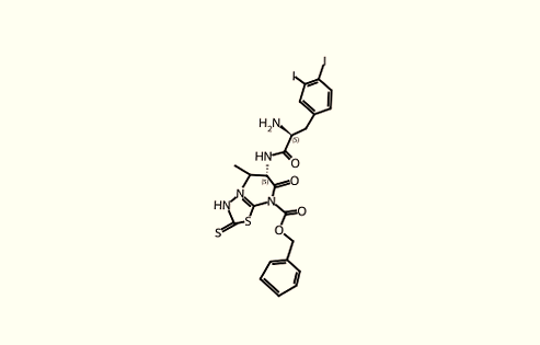 CC(C)[C@H](NC(=O)[C@@H](N)Cc1ccc(I)c(I)c1)C(=O)N(C(=O)OCc1ccccc1)c1n[nH]c(=S)s1